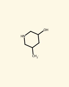 [CH2]C1CNCC(O)C1